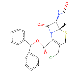 O=CN[C@@H]1C(=O)N2C(C(=O)OC(c3ccccc3)c3ccccc3)=C(CCl)CS[C@@H]12